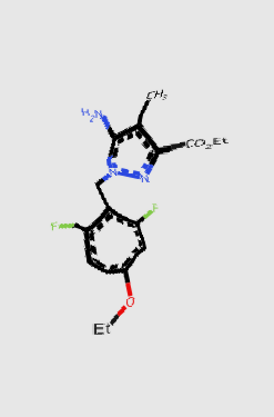 CCOC(=O)c1nn(Cc2c(F)cc(OCC)cc2F)c(N)c1C